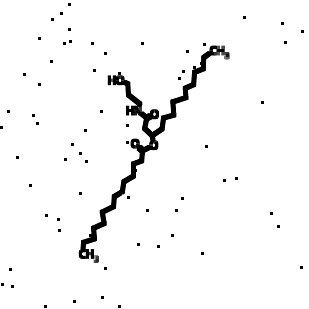 CCCCCCCCCCCCCC(=O)OC(CCCCCCCCCCC)CC(=O)NCCCO